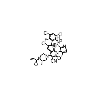 C=CC(=O)N1CCN(c2c(C#N)c(=O)n(-c3c(C)ccnc3C(C)C)c3nc(-c4c(N)c(Cl)cc(Cl)c4F)c(Cl)cc23)C[C@H]1C